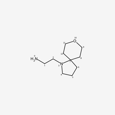 NCCN1CCCC12CCOCC2